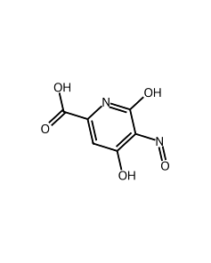 O=Nc1c(O)cc(C(=O)O)nc1O